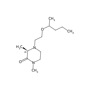 CCCC(C)OCCN1CCN(C)C(=O)[C@H]1C